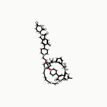 Cc1nc2c3cc(C4CCN(CCCCCN5CCC(c6cc7c(cc6F)C(=O)N(C6CCC(=O)NC6=O)C7)CC5)CC4)c(=O)n(c3n1)CCCC/C=C/CN1CCC(CC1)C(F)(F)c1cccc(c1)[C@@H](C)N2